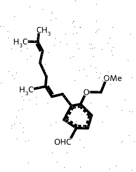 COCOc1ccc(C=O)cc1CC=C(C)CCC=C(C)C